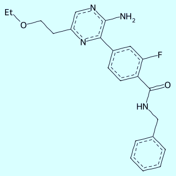 CCOCCc1cnc(N)c(-c2ccc(C(=O)NCc3ccccc3)c(F)c2)n1